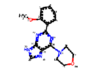 COc1ccccc1-c1nc(N2CCOCC2)c2nc[nH]c2n1